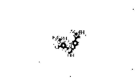 CC(=O)c1nc(-c2ccc(C[C@@H](CCO)NC(=O)c3ccc(O[C@H](C)C(F)(F)F)c(Cl)c3)cc2)cn1C